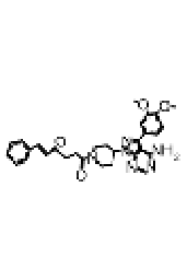 COc1ccc(-c2nn(C3CCN(C(=O)CCC(=O)C=Cc4ccccc4)CC3)c3ncnc(N)c23)cc1OC